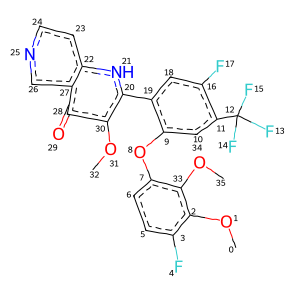 COc1c(F)ccc(Oc2cc(C(F)(F)F)c(F)cc2-c2[nH]c3ccncc3c(=O)c2OC)c1OC